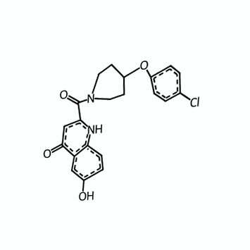 O=C(c1cc(=O)c2cc(O)ccc2[nH]1)N1CCC(Oc2ccc(Cl)cc2)CC1